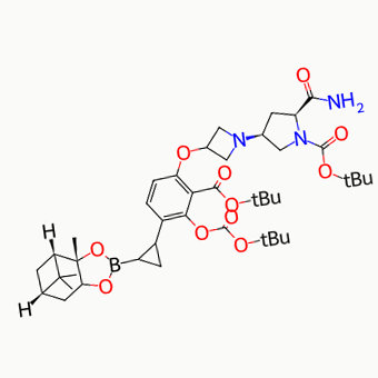 CC(C)(C)OC(=O)Oc1c(C2CC2B2OC3C[C@@H]4C[C@@H](C4(C)C)[C@]3(C)O2)ccc(OC2CN([C@H]3C[C@@H](C(N)=O)N(C(=O)OC(C)(C)C)C3)C2)c1C(=O)OC(C)(C)C